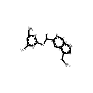 CC(Sc1nc(N)cc(C(F)(F)F)n1)c1cc2c(CN)c[nH]c2cn1